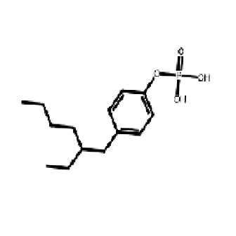 CCCCC(CC)Cc1ccc(OP(=O)(O)O)cc1